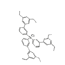 CCc1cc(CC)cc(-c2cccc([Si](Cl)(c3cccc(-c4cc(CC)cc(CC)c4)c3)c3cccc(-c4cc(CC)cc(CC)c4)c3)c2)c1